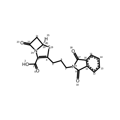 O=C(O)C1=C(CCCN2C(=O)c3ccccc3C2=O)S[C@@H]2CC(=O)N12